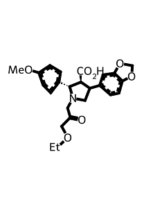 CCOCC(=O)CN1CC(c2ccc3c(c2)OCO3)[C@H](C(=O)O)[C@H]1c1ccc(OC)cc1